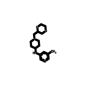 Cc1cncc(NC2CCN(CC3COCCO3)CC2)c1